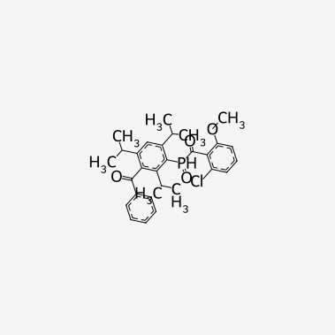 COc1cccc(Cl)c1C(=O)[PH](=O)c1c(C(C)C)cc(C(C)C)c(C(=O)c2ccccc2)c1C(C)C